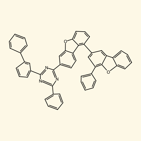 c1ccc(-c2cccc(-c3nc(-c4ccccc4)nc(-c4ccc5c(c4)oc4cccc(-c6cc(-c7ccccc7)c7oc8ccccc8c7c6)c45)n3)c2)cc1